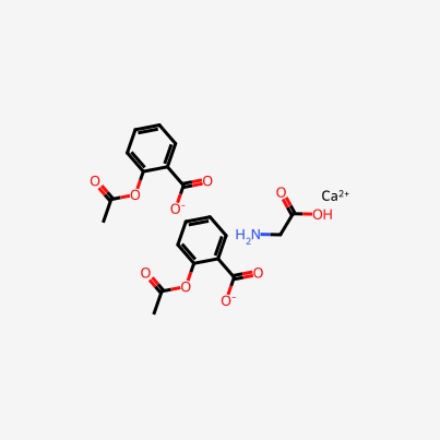 CC(=O)Oc1ccccc1C(=O)[O-].CC(=O)Oc1ccccc1C(=O)[O-].NCC(=O)O.[Ca+2]